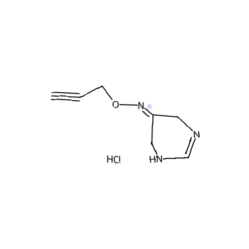 C#CCO/N=C1/CN=CNC1.Cl